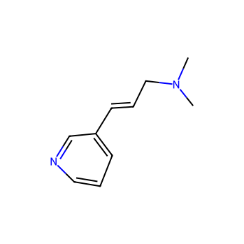 CN(C)CC=Cc1cccnc1